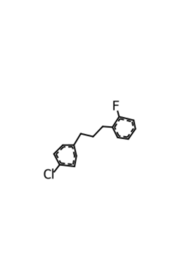 Fc1ccccc1CCCc1ccc(Cl)cc1